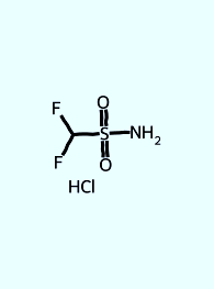 Cl.NS(=O)(=O)C(F)F